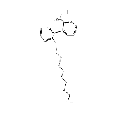 CCCCCCCCCOc1ccccc1-c1ccccc1C(=O)O